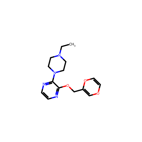 CCN1CCN(c2nccnc2OCC2=COC=CO2)CC1